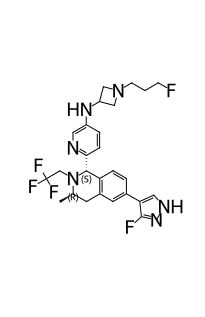 C[C@@H]1Cc2cc(-c3c[nH]nc3F)ccc2[C@@H](c2ccc(NC3CN(CCCF)C3)cn2)N1CC(F)(F)F